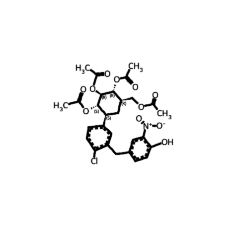 CC(=O)OC[C@H]1C[C@@H](c2ccc(Cl)c(Cc3ccc(O)c([N+](=O)[O-])c3)c2)[C@H](OC(C)=O)[C@@H](OC(C)=O)[C@@H]1OC(C)=O